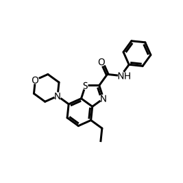 CCc1ccc(N2CCOCC2)c2sc(C(=O)Nc3ccccc3)nc12